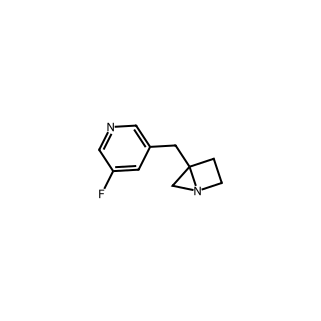 Fc1cncc(CC23CCN2C3)c1